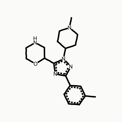 Cc1cccc(-c2nc(C3CNCCO3)n(C3CCN(C)CC3)n2)c1